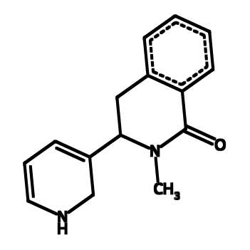 CN1C(=O)c2ccccc2CC1C1=CC=CNC1